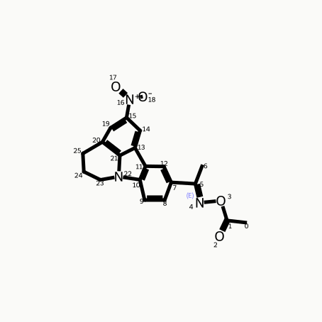 CC(=O)O/N=C(\C)c1ccc2c(c1)c1cc([N+](=O)[O-])cc3c1n2CCC3